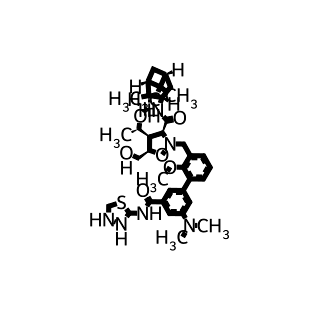 COc1c(CN2O[C@@H](CO)[C@@H]([C@H](C)O)[C@H]2C(=O)N[C@H]2C[C@H]3C[C@@H]([C@@H]2C)C3(C)C)cccc1-c1cc(C(=O)NC2NNCS2)cc(N(C)C)c1